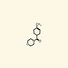 CC1=CCC(C(=O)N2CCOCC2)CC1